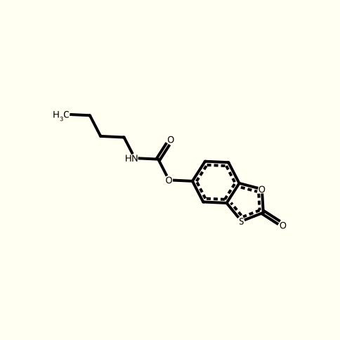 CCCCNC(=O)Oc1ccc2oc(=O)sc2c1